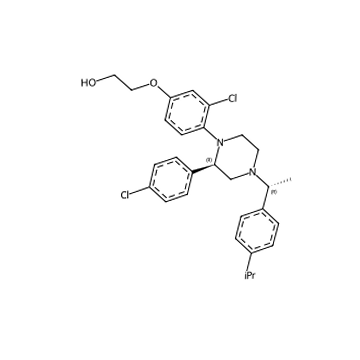 CC(C)c1ccc([C@@H](C)N2CCN(c3ccc(OCCO)cc3Cl)[C@H](c3ccc(Cl)cc3)C2)cc1